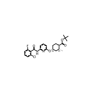 C[C@@H]1C[C@H](Oc2cccc(NC(=O)c3c(F)cccc3Cl)n2)CCN1C(=O)OC(C)(C)C